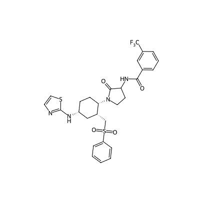 O=C(NC1CCN([C@H]2CC[C@@H](Nc3nccs3)C[C@H]2CS(=O)(=O)c2ccccc2)C1=O)c1cccc(C(F)(F)F)c1